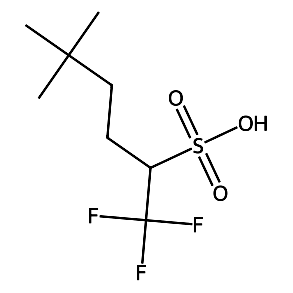 CC(C)(C)CCC(C(F)(F)F)S(=O)(=O)O